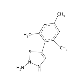 Cc1cc(C)c(C2=CNN(N)S2)c(C)c1